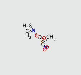 CCCCc1c(C(=O)c2ccc(OCCCN(CCCC)CCCC)cc2)sc2ccc([N+](=O)[O-])cc12